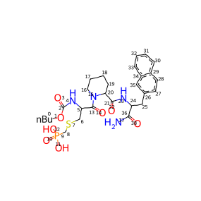 CCCCOC(=O)NC(CSCP(=O)(O)O)C(=O)N1CCCCC1C(=O)NC(Cc1ccc2ccccc2c1)C(N)=O